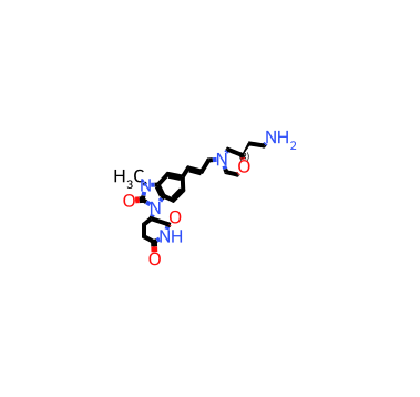 Cn1c(=O)n(C2CCC(=O)NC2=O)c2ccc(C=CCN3CCO[C@H](CCN)C3)cc21